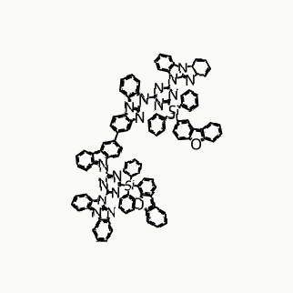 C1=CC2N=C3N(c4nc(-n5c6ccccc6n6c7ccc(-c8ccc9c(c8)c8ccccc8n9-c8nc(-n9c%10ccccc%10n%10c%11ccccc%11nc9%10)nc([Si](c9ccccc9)(c9ccccc9)c9cccc%10c9oc9ccccc9%10)n8)cc7nc56)nc([Si](c5ccccc5)(c5ccccc5)c5ccc6oc7ccccc7c6c5)n4)c4ccccc4N3C2C=C1